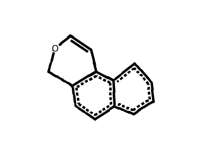 C1=Cc2c(ccc3ccccc23)CO1